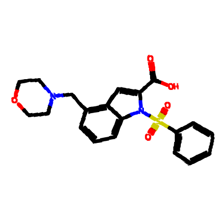 O=C(O)c1cc2c(CN3CCOCC3)cccc2n1S(=O)(=O)c1ccccc1